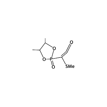 CSC(=C=O)P1(=O)OC(C)C(C)O1